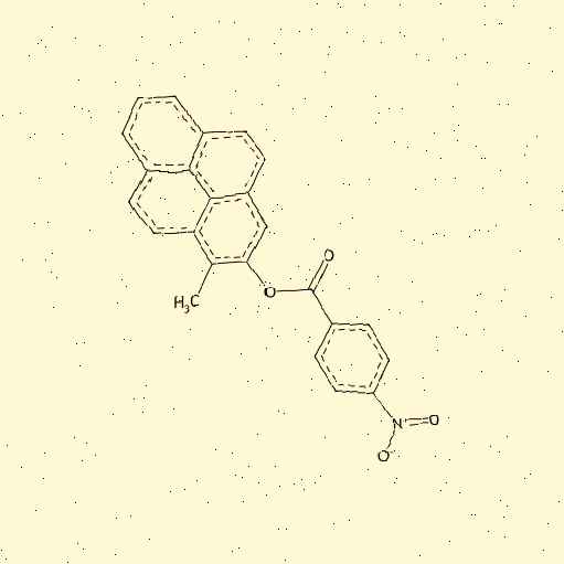 Cc1c(OC(=O)c2ccc([N+](=O)[O-])cc2)cc2ccc3cccc4ccc1c2c34